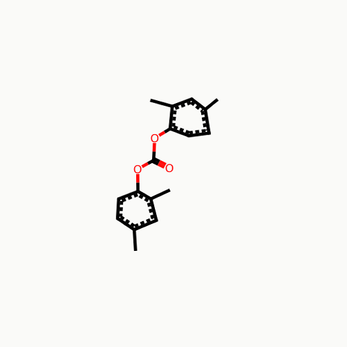 Cc1ccc(OC(=O)Oc2ccc(C)cc2C)c(C)c1